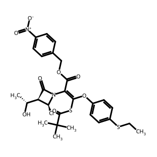 CCSc1ccc(OC(SC(=O)C(C)(C)C)=C(C(=O)OCc2ccc([N+](=O)[O-])cc2)N2C(=O)[C@H]([C@@H](C)O)[C@@H]2Cl)cc1